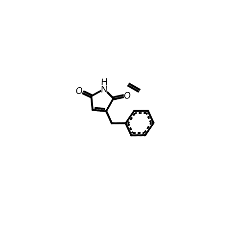 C=C.O=C1C=C(Cc2ccccc2)C(=O)N1